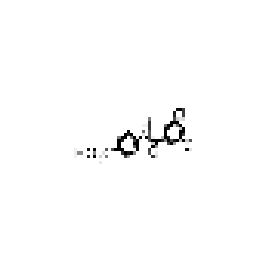 O=C(O)c1ccc(NC(=O)c2cc(Cl)cc(Cl)c2)cc1